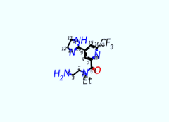 CCN(CCN)C(=O)c1cc(C2=NCCN2)cc(C(F)(F)F)n1